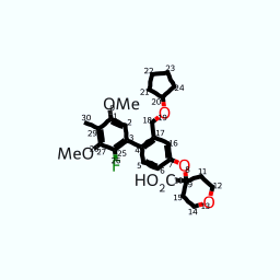 COc1cc(-c2ccc(OC3(C(=O)O)CCOCC3)cc2COC2CCCC2)c(F)c(OC)c1C